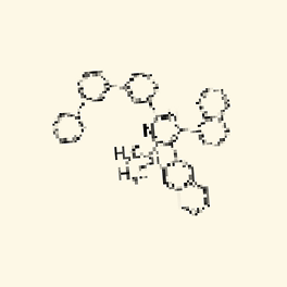 C[Si]1(C)c2cc3ccccc3cc2-c2c(-c3cccc4ccccc34)nc(-c3cccc(-c4cccc(-c5ccccc5)c4)c3)nc21